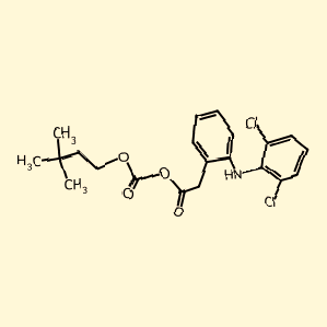 CC(C)(C)CCOC(=O)OC(=O)Cc1ccccc1Nc1c(Cl)cccc1Cl